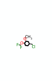 COc1cc(CCl)ccc1OC(F)F